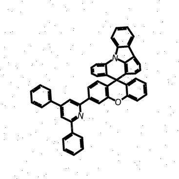 c1ccc(-c2cc(-c3ccccc3)nc(-c3ccc4c(c3)Oc3ccccc3C43c4ccccc4-n4c5ccccc5c5cccc3c54)c2)cc1